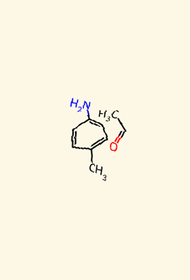 CC=O.Cc1ccc(N)cc1